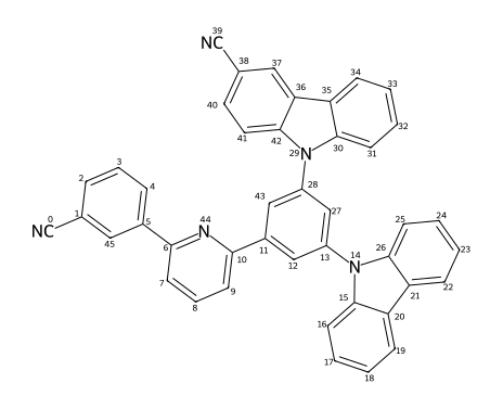 N#Cc1cccc(-c2cccc(-c3cc(-n4c5ccccc5c5ccccc54)cc(-n4c5ccccc5c5cc(C#N)ccc54)c3)n2)c1